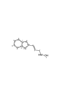 ONCC=Cc1cc2ccccc2s1